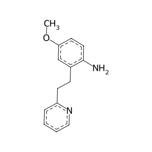 COc1ccc(N)c(CCc2ccccn2)c1